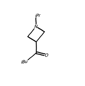 CCC(C)C(=O)C1CN(C(C)C)C1